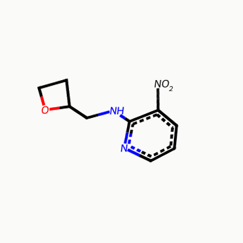 O=[N+]([O-])c1cccnc1NCC1CCO1